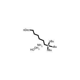 CCCCCCCCCCCCCCCC[P+](CCCC)(CCCC)CCCC.N.O.[OH-]